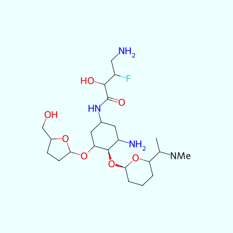 CNC(C)C1CCC[C@@H](O[C@@H]2C(N)CC(NC(=O)C(O)C(F)CN)CC2OC2CCC(CO)O2)O1